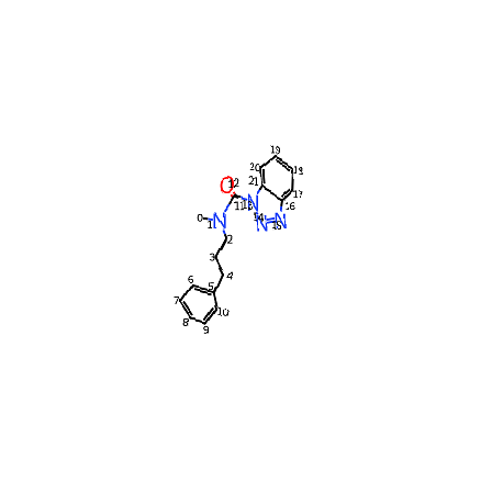 CN(CCCc1ccccc1)C(=O)n1nnc2ccccc21